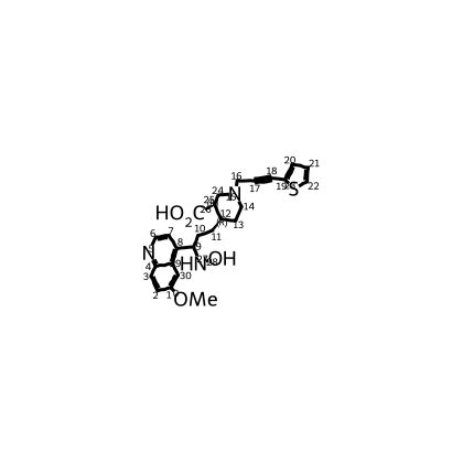 COc1ccc2nccc(C(CC[C@@H]3CCN(CC#Cc4cccs4)C[C@@H]3C(=O)O)NO)c2c1